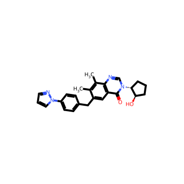 Cc1c(Cc2ccc(-n3cccn3)cc2)cc2c(=O)n([C@@H]3CCC[C@H]3O)cnc2c1C